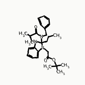 CCCC1(N(Cc2ccccc2)C(=O)C(C)C)Nc2ccccc2N1CC(=O)OC(C)(C)C